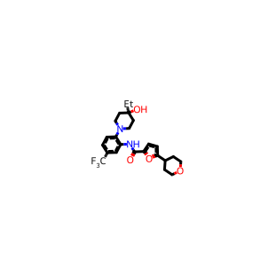 CCC1(O)CCN(c2ccc(C(F)(F)F)cc2NC(=O)c2ccc(C3CCOCC3)o2)CC1